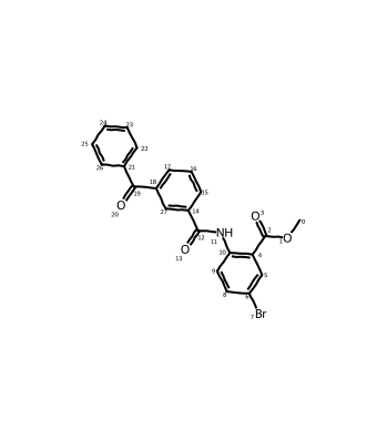 COC(=O)c1cc(Br)ccc1NC(=O)c1cccc(C(=O)c2ccccc2)c1